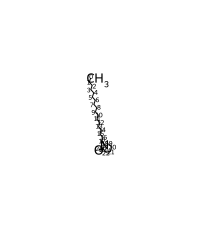 CCCCCCCCCCCCCCCCCCN1CCCCC1=O